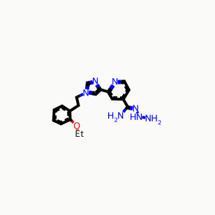 CCOc1ccccc1CCn1cnc(-c2cc(/C(N)=N/NN)ccn2)c1